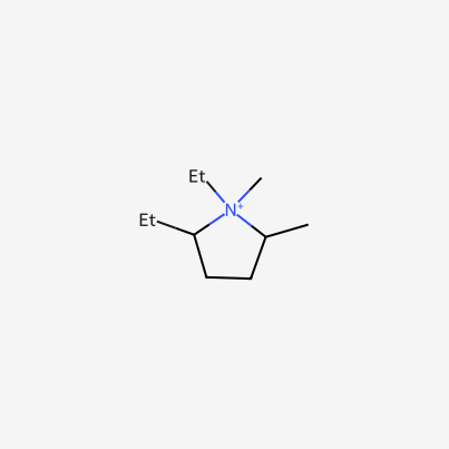 CCC1CCC(C)[N+]1(C)CC